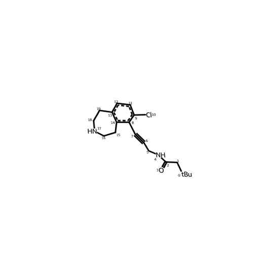 CC(C)(C)CC(=O)NCC#Cc1c(Cl)ccc2c1CCNCC2